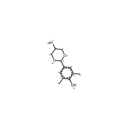 CCCC1COC(c2cc(C)c(O)c(C)c2)OC1